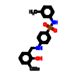 COc1cccc(CNc2ccc(S(=O)(=O)Nc3cccc(C)c3)cc2)c1O